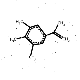 C=C(C)c1cc(C)c(C(F)(F)F)c(C)c1